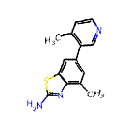 Cc1ccncc1-c1cc(C)c2nc(N)sc2c1